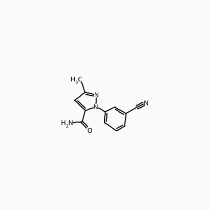 Cc1cc(C(N)=O)n(-c2cccc(C#N)c2)n1